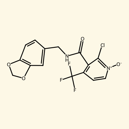 O=C(NCc1ccc2c(c1)OCO2)c1c(C(F)(F)F)cc[n+]([O-])c1Cl